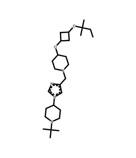 CCC(C)(C)OC1CC(OC2CCN(Cc3cn(C4CCN(C(C)(C)C)CC4)cn3)CC2)C1